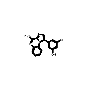 Nc1nc2ccccc2n2c(-c3cc(O)cc(O)c3)cnc12